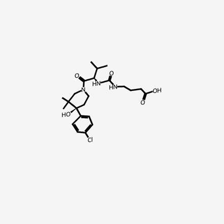 CC(C)[C@@H](NC(=O)NCCCC(=O)O)C(=O)N1CC[C@](O)(c2ccc(Cl)cc2)C(C)(C)C1